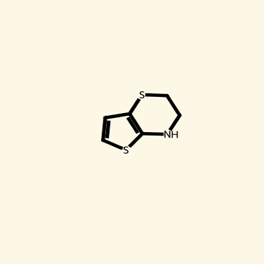 c1cc2c(s1)NCCS2